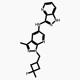 Cc1nn(CC2CC(C)(F)C2)c2ncc(Nc3n[nH]c4cccnc34)cc12